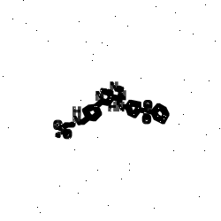 CS(=O)(=O)CCNCc1ccc(-c2cc3c(Nc4ccc(S(=O)(=O)c5ccccc5)cc4)ncnc3cn2)cc1